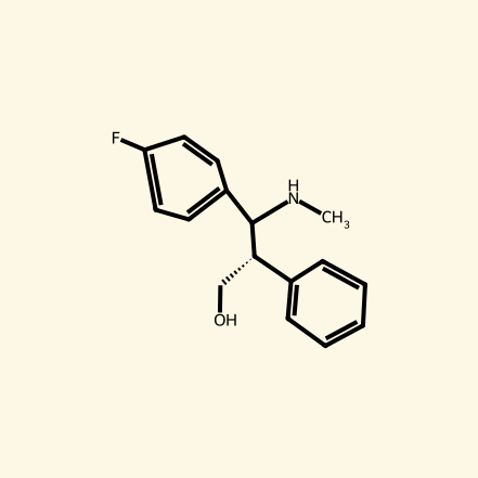 CNC(c1ccc(F)cc1)[C@@H](CO)c1ccccc1